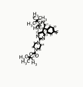 CC(C)(C)OC(=O)N1CCN(c2ncc([C@@](C)(/C=N\[S+]([O-])C(C)(C)C)c3ccc(F)cc3)cn2)CC1